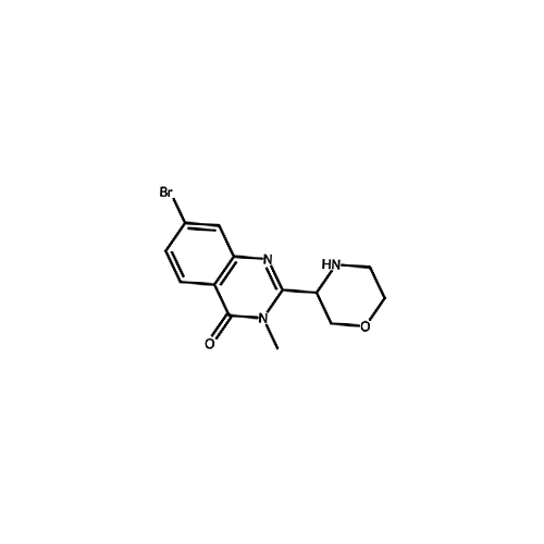 Cn1c(C2COCCN2)nc2cc(Br)ccc2c1=O